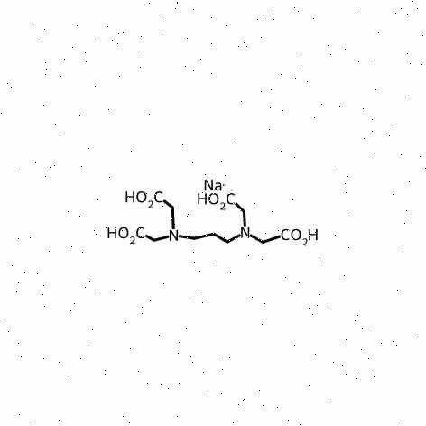 O=C(O)CN(CCCN(CC(=O)O)CC(=O)O)CC(=O)O.[Na]